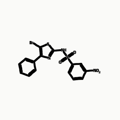 O=[N+]([O-])c1cccc(S(=O)(=O)Nc2nc(-c3ccccc3)c(Br)s2)c1